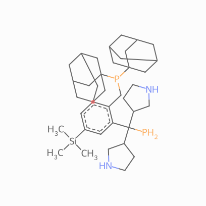 C[Si](C)(C)c1ccc(CP(C23CC4CC(CC(C4)C2)C3)C23CC4CC(CC(C4)C2)C3)c(C(P)(C2CCNC2)C2CCNC2)c1